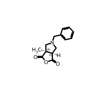 C[C@]12CN(Cc3ccccc3)C[C@H]1C(=O)OC2=O